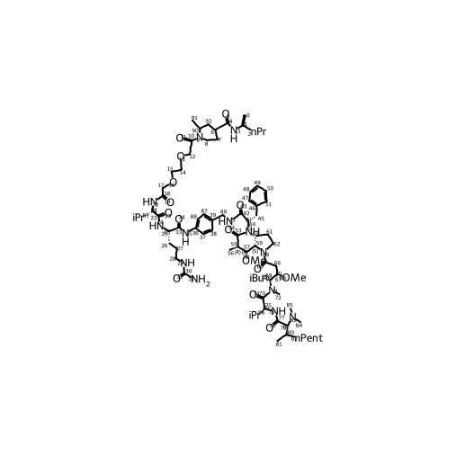 C=C(CCC)NC(=O)C1CCN(C(=O)COCCOCC(=O)N[C@H](C(=O)N[C@@H](CCCNC(N)=O)C(=O)Nc2ccc(CNC(=O)[C@H](Cc3ccccc3)NC(=O)[C@H](C)[C@@H](OC)[C@@H]3CCCN3C(=O)C[C@@H](OC)[C@H]([C@@H](C)CC)N(C)C(=O)[C@@H](NC(=O)[C@H](C(C)CCCCC)N(C)C)C(C)C)cc2)C(C)C)C(C)C1